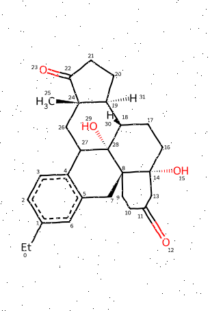 CCc1ccc2c(c1)C[C@]13CCC(=O)C[C@]1(O)CC[C@H]1[C@@H]4CCC(=O)[C@@]4(C)CC2[C@@]13O